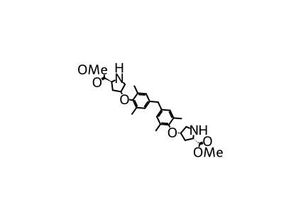 COC(=O)[C@@H]1C[C@H](Oc2c(C)cc(Cc3cc(C)c(O[C@@H]4CN[C@H](C(=O)OC)C4)c(C)c3)cc2C)CN1